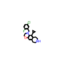 Fc1ccc(Cl)cc1CN1CCOc2cc3c(c(C4CC4)c21)CCNCC3